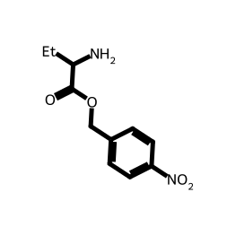 [CH2]CC(N)C(=O)OCc1ccc([N+](=O)[O-])cc1